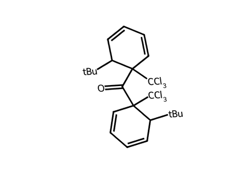 CC(C)(C)C1C=CC=CC1(C(=O)C1(C(Cl)(Cl)Cl)C=CC=CC1C(C)(C)C)C(Cl)(Cl)Cl